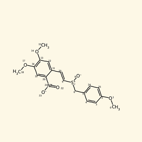 COc1ccc(C[S+]([O-])/C=C/c2cc(OC)c(OC)cc2[N+](=O)[O-])cc1